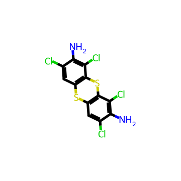 Nc1c(Cl)cc2c(c1Cl)Sc1c(cc(Cl)c(N)c1Cl)S2